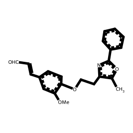 COc1cc(C=CC=O)ccc1OCCc1nc(-c2ccccc2)oc1C